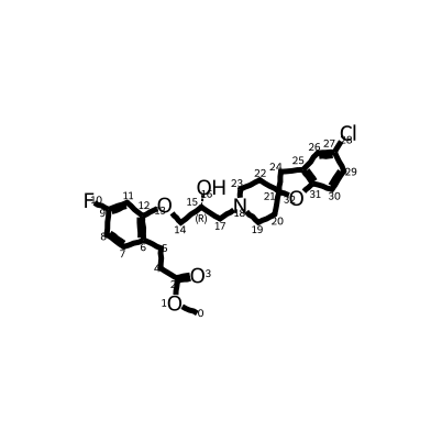 COC(=O)CCc1ccc(F)cc1OC[C@H](O)CN1CCC2(CC1)Cc1cc(Cl)ccc1O2